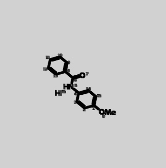 COc1ccc(NC(=O)c2ccccc2)cc1.I